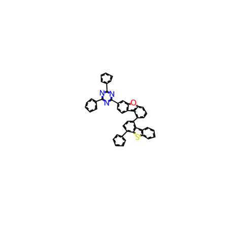 c1ccc(-c2nc(-c3ccccc3)nc(-c3ccc4c(c3)oc3cccc(-c5ccc(-c6ccccc6)c6sc7ccccc7c56)c34)n2)cc1